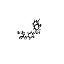 Cn1ccc2cc(Nc3ccc(OC(=O)OC(C)(C)C)cn3)cnc21